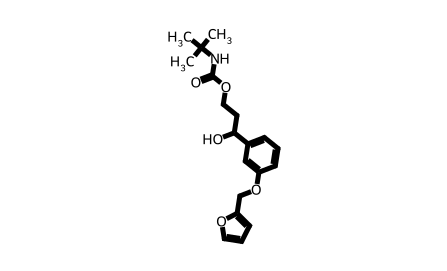 CC(C)(C)NC(=O)OCCC(O)c1cccc(OCc2ccco2)c1